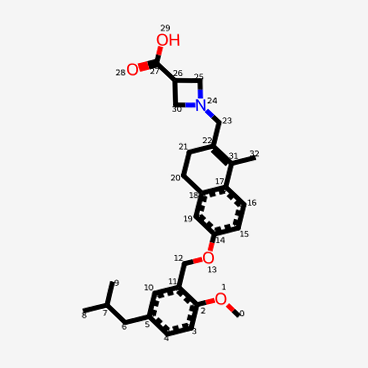 COc1ccc(CC(C)C)cc1COc1ccc2c(c1)CCC(CN1CC(C(=O)O)C1)=C2C